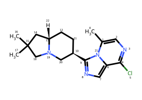 Cc1cnc(Cl)c2cnc([C@@H]3CC[C@H]4CC(C)(C)CN4C3)n12